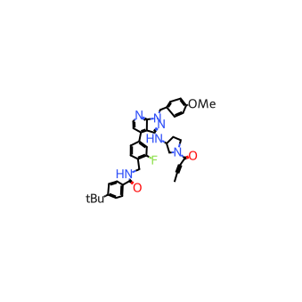 CC#CC(=O)N1CCC(Nc2nn(Cc3ccc(OC)cc3)c3nccc(-c4ccc(CNC(=O)c5ccc(C(C)(C)C)cc5)c(F)c4)c23)C1